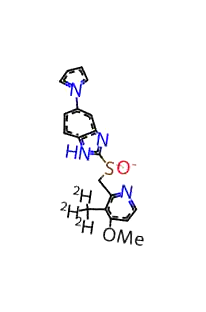 [2H]C([2H])([2H])c1c(OC)ccnc1C[S+]([O-])c1nc2cc(-n3cccc3)ccc2[nH]1